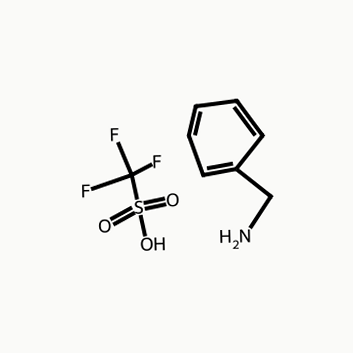 NCc1ccccc1.O=S(=O)(O)C(F)(F)F